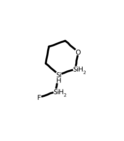 F[SiH2][SiH]1CCCO[SiH2]1